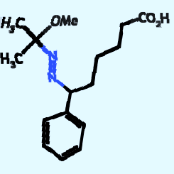 COC(C)(C)N=NC(CCCCC(=O)O)c1ccccc1